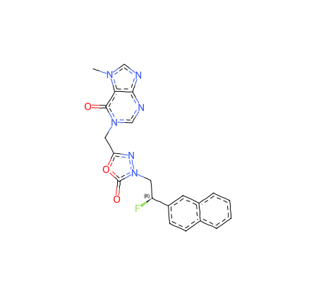 Cn1cnc2ncn(Cc3nn(C[C@H](F)c4ccc5ccccc5c4)c(=O)o3)c(=O)c21